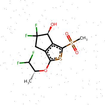 C[C@@H](Oc1sc(S(C)(=O)=O)c2c1CC(F)(F)[C@H]2O)C(F)F